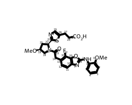 COc1ccccc1Nc1nc2ccc(CC(=O)N3C[C@@H](OC)C[C@H]3c3ncc(CCC(=O)O)s3)c(F)c2o1